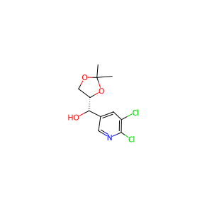 CC1(C)OC[C@@H](C(O)c2cnc(Cl)c(Cl)c2)O1